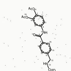 CC(=O)Oc1ccc(NC(=O)c2ccc(CNC=O)cn2)cc1OC(C)=O